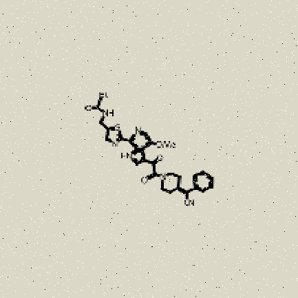 CCC(=O)NCc1cnc(-c2ncc(OC)c3c(C(=O)C(=O)N4CCC(=C(C#N)c5ccccc5)CC4)c[nH]c23)s1